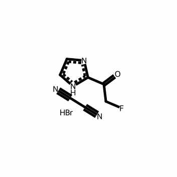 Br.N#CC#N.O=C(CF)c1ncc[nH]1